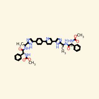 COC(=O)N[C@@H](C(=O)N[C@@H](C)c1ncc(-c2ccc(-c3ccc(-c4cnc([C@H](C)NC(=O)[C@H](NC(=O)OC)c5ccccc5)[nH]4)cn3)cc2)[nH]1)c1ccccc1